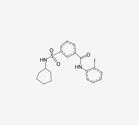 O=C(Nc1ccccc1I)c1cccc(S(=O)(=O)NC2CCCCC2)c1